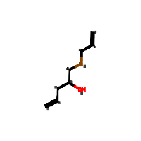 C=CCSCC(O)CC=C